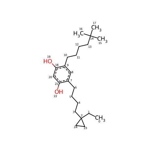 CCC1(CCCCc2cc(CCCCC(C)(C)C)c(O)cc2O)CC1